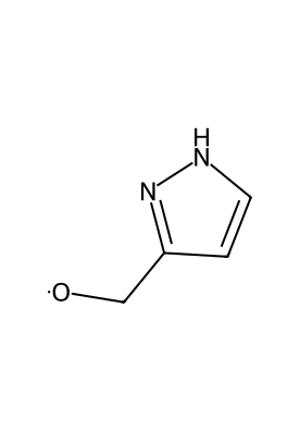 [O]Cc1cc[nH]n1